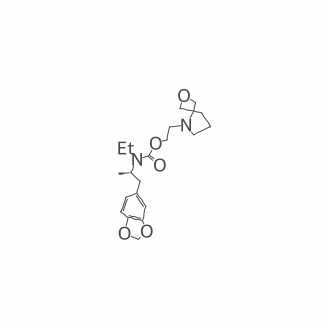 CCN(C(=O)OCCN1CCCC12COC2)[C@H](C)Cc1ccc2c(c1)OCO2